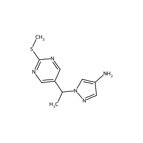 CSc1ncc(C(C)n2cc(N)cn2)cn1